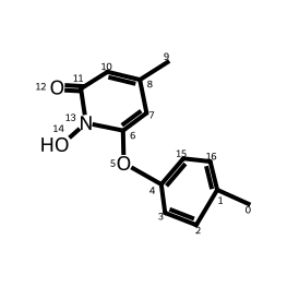 Cc1ccc(Oc2cc(C)cc(=O)n2O)cc1